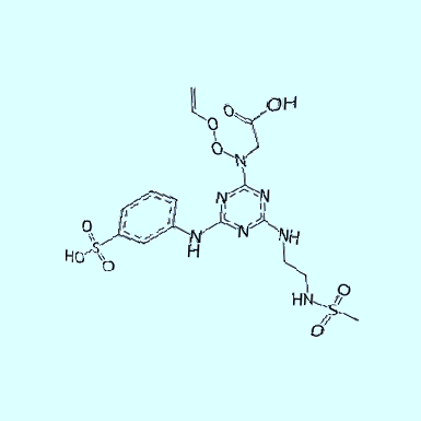 C=COON(CC(=O)O)c1nc(NCCNS(C)(=O)=O)nc(Nc2cccc(S(=O)(=O)O)c2)n1